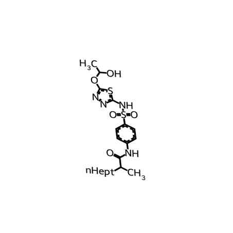 CCCCCCCC(C)C(=O)Nc1ccc(S(=O)(=O)Nc2nnc(OC(C)O)s2)cc1